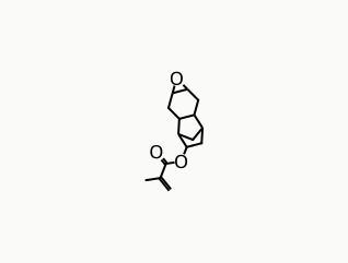 C=C(C)C(=O)OC1CC2CC1C1CC3OC3CC21